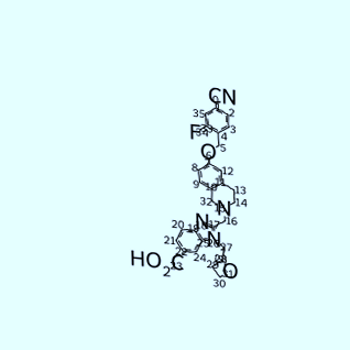 N#Cc1ccc(COc2ccc3c(c2)CCN(Cc2nc4ccc(C(=O)O)cc4n2C[C@@H]2CCO2)C3)c(F)c1